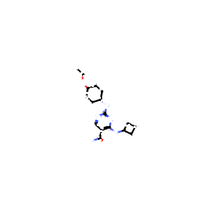 CCOC1CCC(Nc2ncc(C(N)=O)c(NC3CCC3)n2)CC1